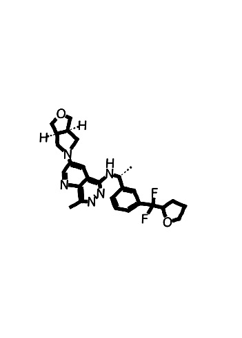 Cc1nnc(N[C@H](C)c2cccc(C(F)(F)C3CCCO3)c2)c2cc(N3C[C@H]4COC[C@H]4C3)cnc12